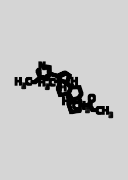 CCC(=O)N1CCC[C@@]2(C)C1CC[C@@H]1[C@@H]2CC[C@]2(C)C(c3cncc(CC)c3)=CC[C@@H]12